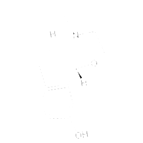 CCN1CCO[C@@H]2c3cc(O)ccc3CC[C@H]21